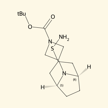 CC(C)(C)OC(=O)N1CC(N2[C@@H]3CC[C@H]2CC(SN)C3)C1